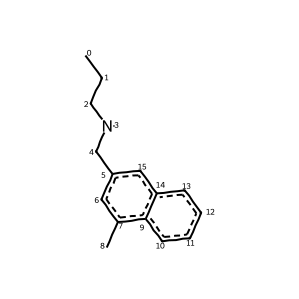 CCC[N]Cc1cc(C)c2ccccc2c1